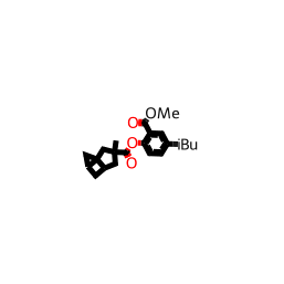 CCC(C)c1ccc(OC(=O)C2(C)CC3CC4CC34C2)c(C(=O)OC)c1